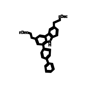 CCCCCCCCCCCCc1ccc2[nH]c3c(-c4ccc(-c5ccccc5)cc4)cc(CCCCCCCCCCCC)cc3c2c1